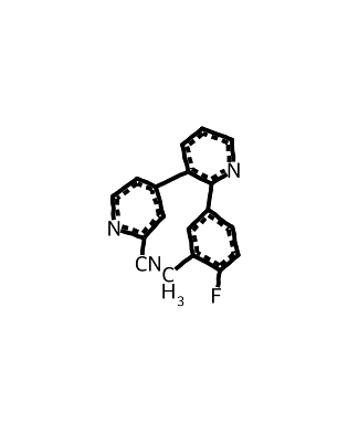 Cc1cc(-c2ncccc2-c2ccnc(C#N)c2)ccc1F